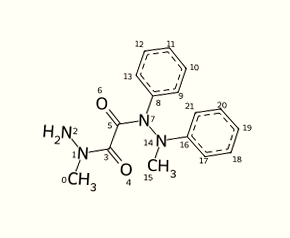 CN(N)C(=O)C(=O)N(c1ccccc1)N(C)c1ccccc1